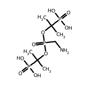 CC(C)(OP(=O)(CN)OC(C)(C)P(=O)(O)O)P(=O)(O)O